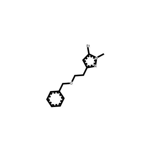 CCc1cc(CCOCc2ccccc2)nn1C